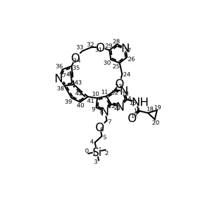 C[Si](C)(C)CCOCn1cc2c3c(nc(NC(=O)C4CC4)nc31)OCc1cncc(c1)OCCOc1cnc3ccc-2cc3c1